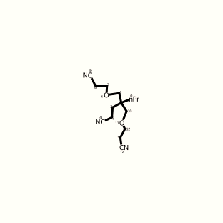 CCCC(CCC#N)(COCCC#N)COCCC#N